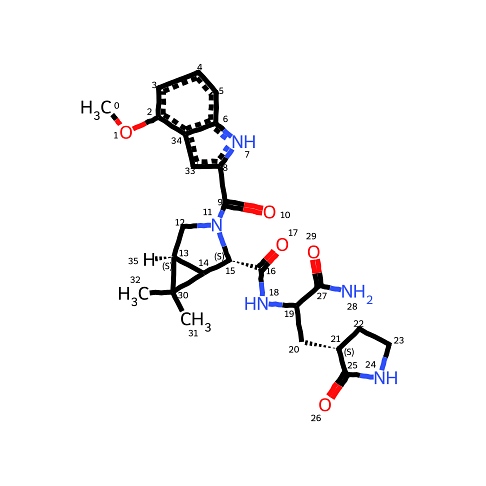 COc1cccc2[nH]c(C(=O)N3C[C@H]4C([C@H]3C(=O)NC(C[C@@H]3CCNC3=O)C(N)=O)C4(C)C)cc12